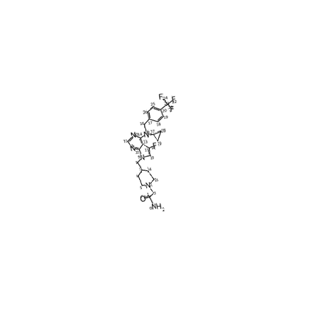 NC(=O)CN1CCC(Cn2cc(F)c3c(N(Cc4ccc(C(F)(F)F)cc4)C4CC4)ncnc32)CC1